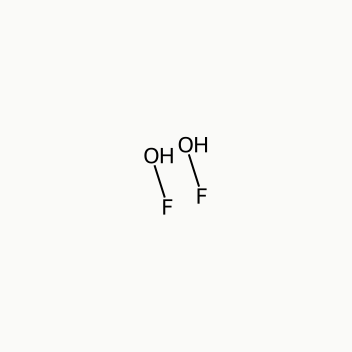 OF.OF